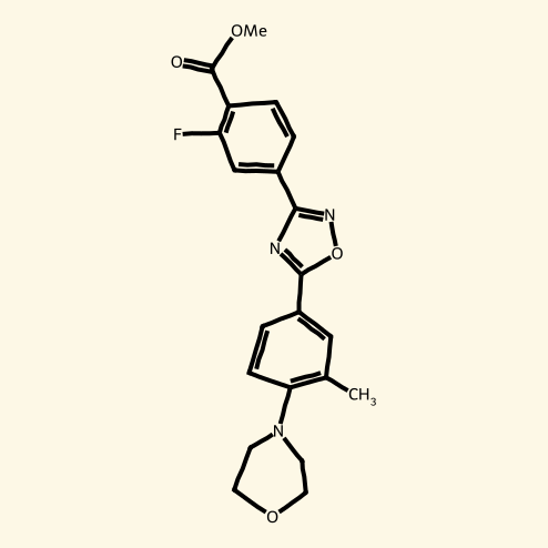 COC(=O)c1ccc(-c2noc(-c3ccc(N4CCOCC4)c(C)c3)n2)cc1F